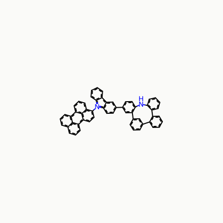 c1cc2cc(c1)-c1ccccc1-c1ccccc1Nc1ccc(-c3ccc4c(c3)c3ccccc3n4-c3ccc4c5cccc6cccc(c7cccc3c74)c65)cc1-2